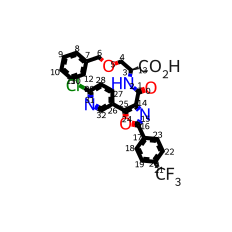 O=C(N[C@@H](COCc1ccccc1)C(=O)O)c1nc(-c2ccc(C(F)(F)F)cc2)oc1-c1ccc(Cl)nc1